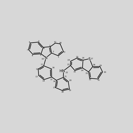 C1=Cc2c(c3ccccc3n2-c2cccc(-c3ccccc3Nc3ccc4sc5ccccc5c4c3)c2)CC1